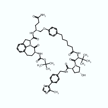 Cc1ncsc1-c1ccc(CNC(=O)[C@@H]2C[C@@H](O)CN2C(=O)[C@@H](NC(=O)CCCCCc2ccc(OC[C@H](CCC(N)=O)NC(=O)[C@@H]3Cc4cccc5c4N3C(=O)[C@@H](NC(=O)OC(C)(C)C)CC5)cc2)C(C)(C)C)cc1